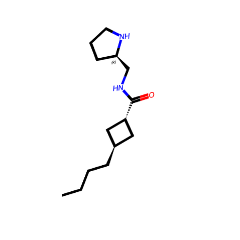 CCCC[C@H]1C[C@H](C(=O)NC[C@H]2CCCN2)C1